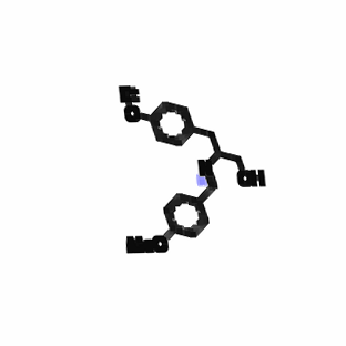 CCOc1ccc(CC(CO)/N=C/c2ccc(OC)cc2)cc1